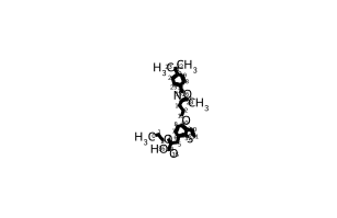 CCCOC(Cc1ccc(OCCCc2nc(-c3ccc(C(C)C)cc3)oc2C)c2ccsc12)C(=O)O